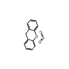 O=S=O.c1ccc2c(c1)Cc1ccccc1O2